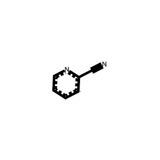 N#Cc1[c]cccn1